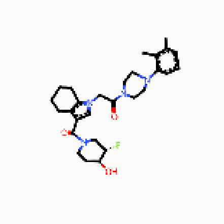 Cc1cccc(N2CCN(C(=O)Cn3cc(C(=O)N4CC[C@H](O)[C@@H](F)C4)c4c3CCCC4)CC2)c1C